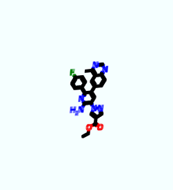 CCOC(=O)c1cnn(-c2cc(-c3ccc4ncnc(C)c4c3)c(-c3ccc(F)cc3)nc2N)c1